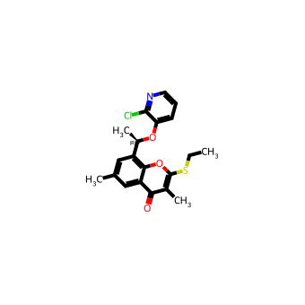 CCSc1oc2c([C@@H](C)Oc3cccnc3Cl)cc(C)cc2c(=O)c1C